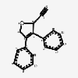 C#CC1OCC(c2ccccc2)=C1c1ccccc1